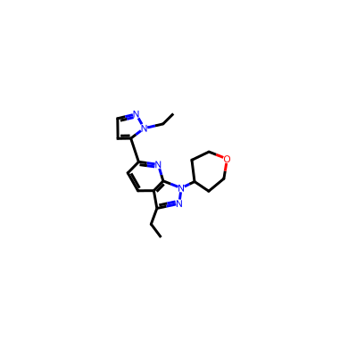 CCc1nn(C2CCOCC2)c2nc(-c3ccnn3CC)ccc12